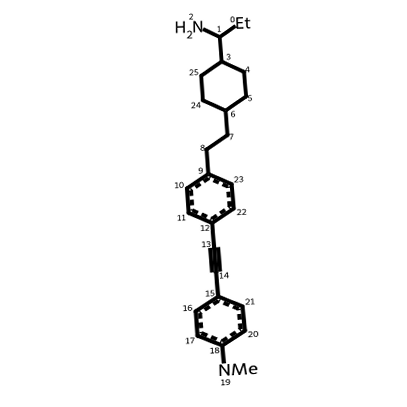 CCC(N)C1CCC(CCc2ccc(C#Cc3ccc(NC)cc3)cc2)CC1